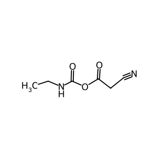 CCNC(=O)OC(=O)CC#N